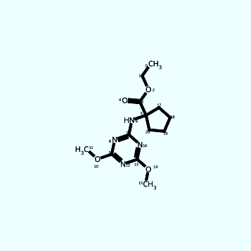 CCOC(=O)C1(Nc2nc(OC)nc(OC)n2)CCCC1